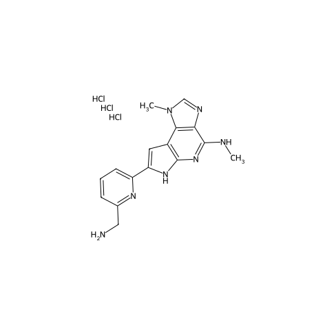 CNc1nc2[nH]c(-c3cccc(CN)n3)cc2c2c1ncn2C.Cl.Cl.Cl